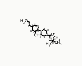 C=CCc1cnc(N2CCN(C(=O)OC(C)(C)C)CC2)c(C)c1